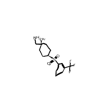 NC[C@]1(O)CC[C@@H](S(=O)(=O)c2cccc(C(F)(F)F)c2)CC1